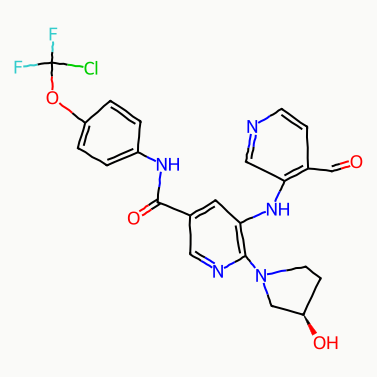 O=Cc1ccncc1Nc1cc(C(=O)Nc2ccc(OC(F)(F)Cl)cc2)cnc1N1CC[C@@H](O)C1